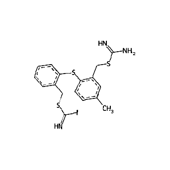 Cc1ccc(Sc2ccccc2CSC(=N)I)c(CSC(=N)N)c1